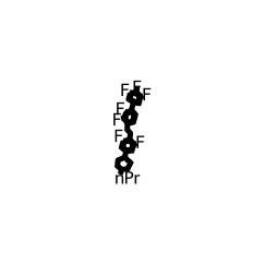 CCCC1CCC(c2cc(F)c(CCc3ccc(-c4cc(F)c(F)c(F)c4)c(F)c3F)c(F)c2)CC1